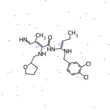 CC/C=C(\NCc1ccc(Cl)c(Cl)c1)NC(=O)/C(NCC1CCCO1)=C(\C)C=N